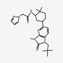 Cn1c(=O)n(CC(C)(C)C)c2ccc(C3CCC(C)(C)C(NC(=O)Cn4cccn4)C3)nc21